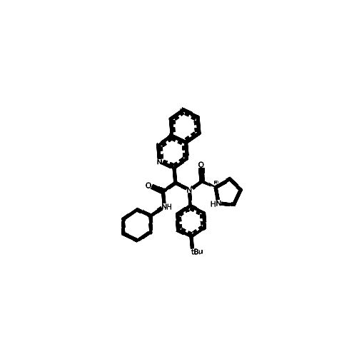 CC(C)(C)c1ccc(N(C(=O)[C@H]2CCCN2)C(C(=O)NC2CCCCC2)c2cc3ccccc3cn2)cc1